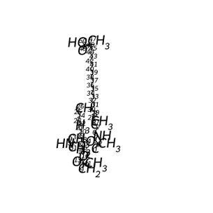 C=C(C)C(=O)NCCC.C=C(C)C(=O)OCCCCCCCCCCCC.CCCCCCCCCCCCCCCCCCC=C(C)C(=O)O.CNC